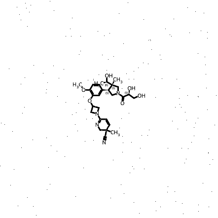 COc1ccc([C@@H]2CN(C(=O)[C@@H](O)CO)C[C@@]2(C)[C@@H](C)O)cc1OC1CN(C2=NCC(C)(C#N)C=C2)C1